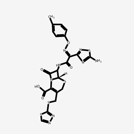 Cc1ccc(ON=C(C(=O)NC2C(=O)N3C(C(=O)O)=C(CSc4nncs4)CS[C@@H]23)c2nsc(N)n2)cc1